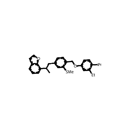 CCc1cc(OCc2ccc(CC(C)c3cccc4ccoc34)cc2SC)ccc1C(C)C